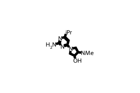 CNC1CN(c2cc(C(C)C)nc(N)n2)CC1O